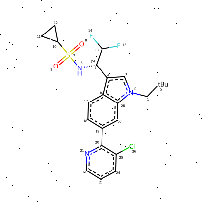 CC(C)(C)Cn1cc([C@H](NS(=O)(=O)C2CC2)C(F)F)c2ccc(-c3ncccc3Cl)cc21